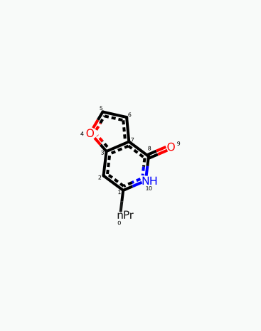 CCCc1cc2occc2c(=O)[nH]1